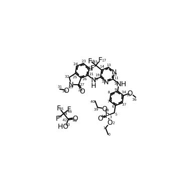 CCOP(=O)(Cc1ccc(Nc2ncc(C(F)(F)F)c(Nc3cccc4c3C(=O)N(OC)C4)n2)c(OC)c1)OCC.O=C(O)C(F)(F)F